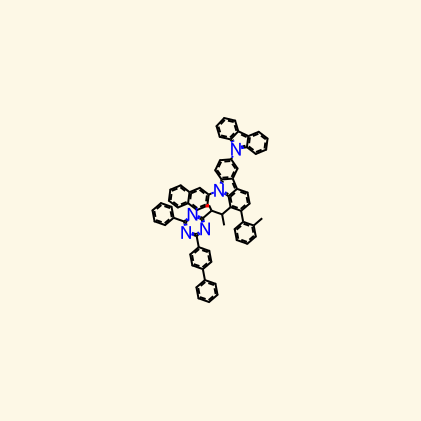 Cc1ccccc1-c1ccc2c3cc(-n4c5ccccc5c5ccccc54)ccc3n(-c3ccc4ccccc4c3)c2c1C(C)C(C)c1nc(-c2ccccc2)nc(-c2ccc(-c3ccccc3)cc2)n1